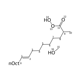 CCCCCCCCC=CCCCCCCC(C)C(=O)OO.CO